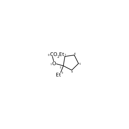 CCOC(=O)OC1(CC)CCCC1